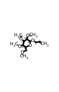 C=CCOC1OC(COC)C(OC)C(OC)C1OC